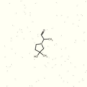 CC(C=O)N1CCC(C)(O)C1